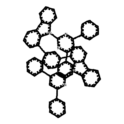 c1ccc(-c2cc(-c3ccccc3)nc(-n3c4ccccc4c4cccc(-c5cccc(-c6cccc7c8ccccc8n(-c8nc(-c9ccccc9)cc(-c9ccccc9)n8)c67)c5)c43)n2)cc1